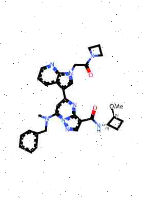 CO[C@H]1CC[C@@H]1NC(=O)c1cnn2c(N(C)Cc3ccccc3)cc(-c3cn(CC(=O)N4CCC4)c4ncccc34)nc12